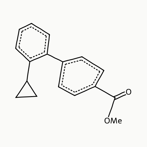 COC(=O)c1ccc(-c2ccccc2C2CC2)cc1